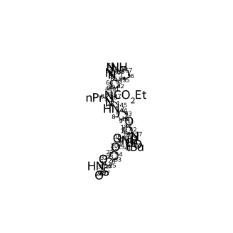 CCCc1nc(CNc2c(C)cc(Oc3ccc(NC(=O)COc4ccc(CC5SC(=O)NC5=O)cc4)c(N(C)C(=O)OC(C)(C)C)c3)cc2C)c(C(=O)OCC)n1Cc1ccc(-c2ccccc2-c2nnn[nH]2)cc1